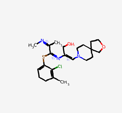 C\N=C(C)/C(=N\C(=C\N1CCC2(CCOC2)CC1)CO)SC1=CCCC(C)=C1Cl